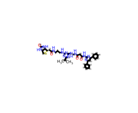 CC(C)c1nc(NCCCNC(=O)C[C@@H]2SCC3NC(=O)NC32)nc(NCNC(=O)CC(=O)Nc2nc(-c3ccccc3)cc(-c3ccccc3)n2)n1